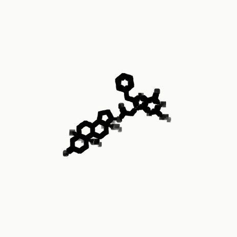 C[C@]12CCC3C(CC[C@H]4CC(=O)CC[C@]34C)C1CC[C@@H]2OC(=O)Cn1c(Cc2ccccc2)nc2c(=O)[nH]c(N)nc21